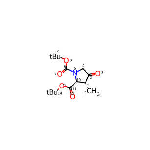 C[C@H]1C(=O)CN(C(=O)OC(C)(C)C)[C@@H]1C(=O)OC(C)(C)C